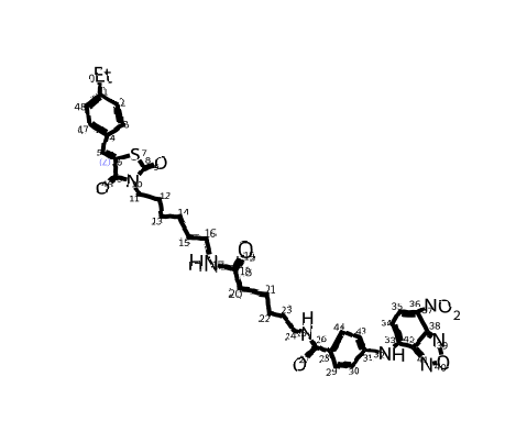 CCc1ccc(/C=C2\SC(=O)N(CCCCCCNC(=O)CCCCCNC(=O)c3ccc(Nc4ccc([N+](=O)[O-])c5nonc45)cc3)C2=O)cc1